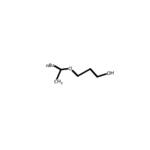 CCCCC(C)OCCCO